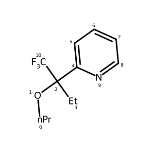 CCCOC(CC)(c1ccccn1)C(F)(F)F